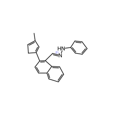 CC1=CCC(c2ccc3ccccc3c2/C=N/Nc2ccccc2)=C1